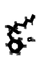 C=CCCC[N+](C)(C)Cc1ccccc1.[Cl-]